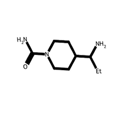 CCC(N)C1CCN(C(N)=O)CC1